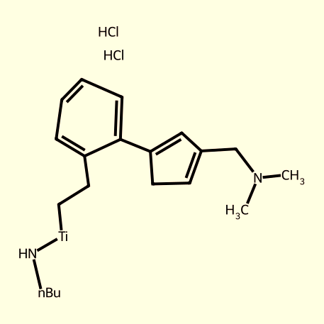 CCCC[NH][Ti][CH2]Cc1ccccc1C1=CC(CN(C)C)=CC1.Cl.Cl